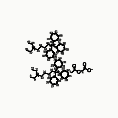 CC(=O)[O-].CC(=O)[O-].CCN(CC)CCCC[P+](c1ccccc1)(c1ccccc1)c1ccccc1.CCN(CC)CCCC[P+](c1ccccc1)(c1ccccc1)c1ccccc1